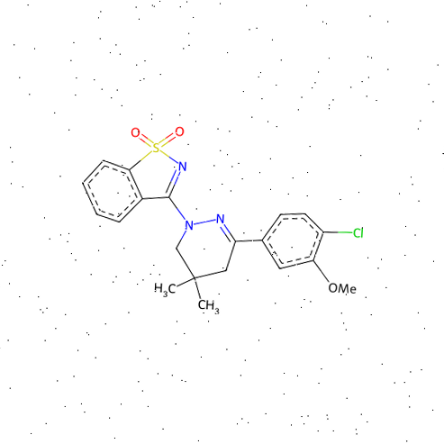 COc1cc(C2=NN(C3=NS(=O)(=O)c4ccccc43)CC(C)(C)C2)ccc1Cl